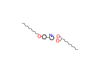 CCCCCCCCCCOc1ccc(-c2ccc([C@H]3OC[C@H](CCCCCCCCC)CO3)cn2)cc1